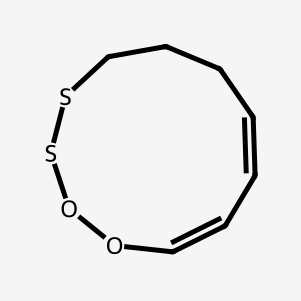 C1=C\CCCSSOO\C=C/1